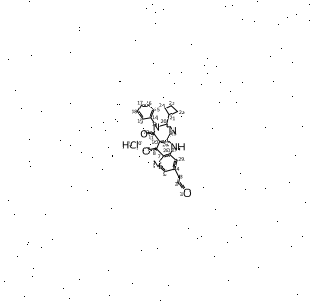 Cl.O=CCc1cnc2c(=O)c3c(=O)n(-c4ccccc4)c(C4CCC4)nc3[nH]c2c1